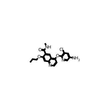 CCCOc1cc2nccc(Oc3ncc(N)cc3Cl)c2cc1C(=O)NC